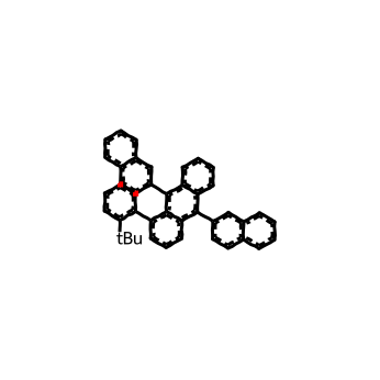 CC(C)(C)c1ccccc1-c1cccc2c(-c3ccc4ccccc4c3)c3ccccc3c(-c3ccc4ccccc4c3)c12